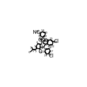 CC(C)=Cc1ccc2n(c1=O)[C@@H](c1ccc(Cl)cc1)[C@@H](c1ccc(Cl)cc1)N2S(=O)(=O)c1cccc(C#N)c1